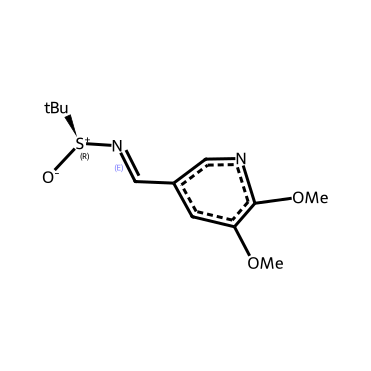 COc1cc(/C=N/[S@@+]([O-])C(C)(C)C)cnc1OC